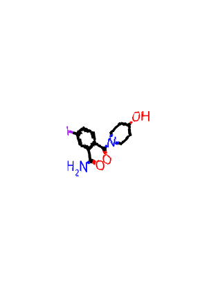 NC(=O)c1cc(I)ccc1C(=O)N1CCC(O)CC1